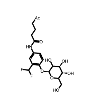 CC(=O)CCCC(=O)Nc1ccc(O[C@@H]2OC(CO)[C@H](O)[C@H](O)C2O)c(C(F)F)c1